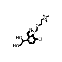 C[Si](C)(C)CCOCn1ncc2c(C(O)CO)ccc(Cl)c21